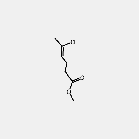 COC(=O)CC/C=C(/C)Cl